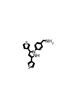 NCc1ccc(N2NC(c3ccsc3)=CC2c2ccsc2)cc1